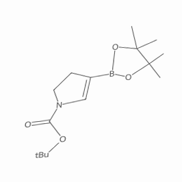 CC(C)(C)OC(=O)N1C=C(B2OC(C)(C)C(C)(C)O2)CC1